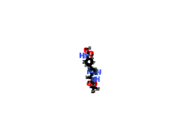 COC(=O)Nc1ccc(-c2c[nH]c([C@H](C)NC(=O)OC(C)(C)C)n2)cc1